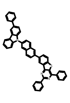 c1ccc(-c2ccc3c(c2)c2ccccc2n3-c2ccc3cc(-c4ccc5sc6c(-c7ccccc7)nc(-c7ccccc7)nc6c5c4)ccc3c2)cc1